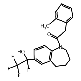 Cc1ccccc1CC(=O)N1CCCCc2cc(C(O)(F)C(F)(F)F)ccc21